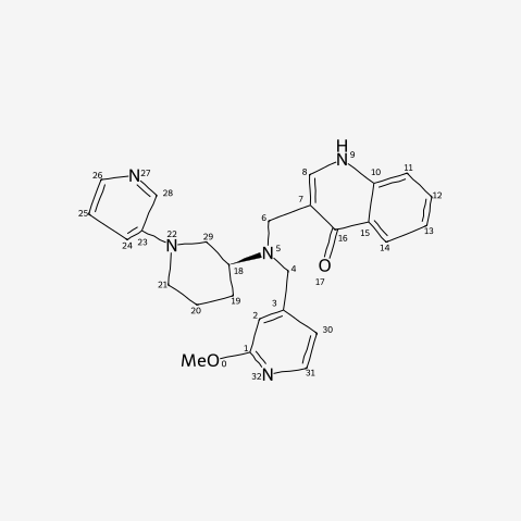 COc1cc(CN(Cc2c[nH]c3ccccc3c2=O)[C@H]2CCCN(c3cccnc3)C2)ccn1